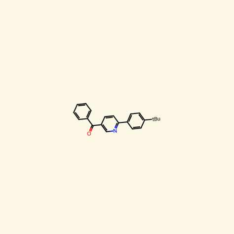 CC(C)(C)c1ccc(-c2ccc(C(=O)c3ccccc3)cn2)cc1